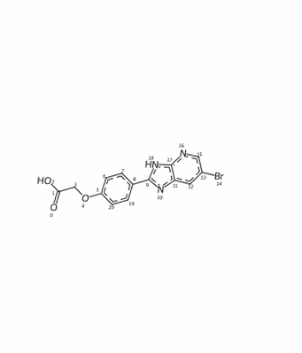 O=C(O)COc1ccc(-c2nc3cc(Br)cnc3[nH]2)cc1